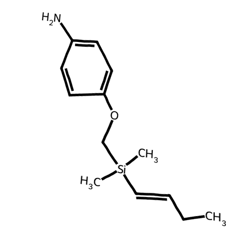 CCC=C[Si](C)(C)COc1ccc(N)cc1